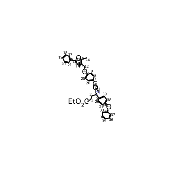 CCOC(=O)CC/C(=N\OCc1ccc(OCc2nc(-c3ccccc3)oc2C)cc1)c1ccc(Oc2ccccc2)cc1